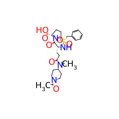 CC(=O)N1CCC(N(C)C(=O)CC[C@@H](NS(=O)(=O)Cc2ccccc2)C(=O)N2CCC[C@H]2C(=O)O)CC1